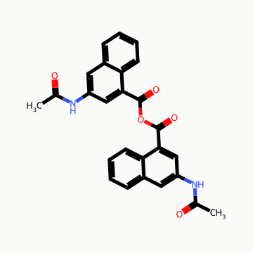 CC(=O)Nc1cc(C(=O)OC(=O)c2cc(NC(C)=O)cc3ccccc23)c2ccccc2c1